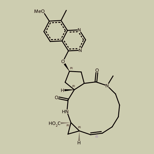 COc1ccc2c(O[C@H]3CC4C(=O)N(C)CCCC/C=C\[C@H]5C[C@@]5(C(=O)O)NC(=O)[C@@H]4C3)ncnc2c1C